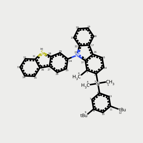 Cc1c([Si](C)(C)c2cc(C(C)(C)C)cc(C(C)(C)C)c2)ccc2c3ccccc3n(-c3ccc4c(c3)sc3ccccc34)c12